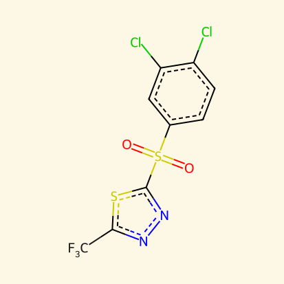 O=S(=O)(c1ccc(Cl)c(Cl)c1)c1nnc(C(F)(F)F)s1